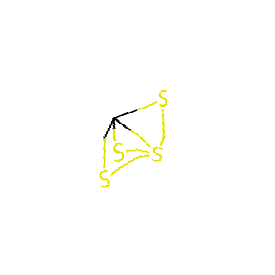 S1C23SS12S3